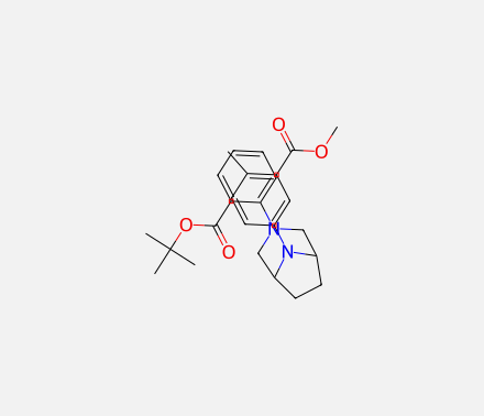 COC(=O)c1cc(N2C3CCC2CN(c2ccccc2C(=O)OC(C)(C)C)C3)ccc1C